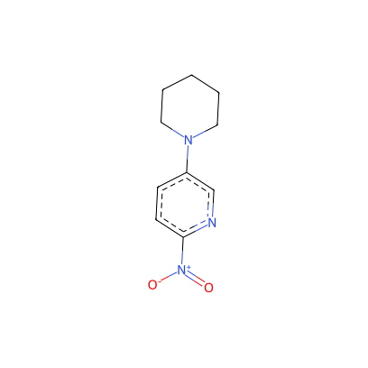 O=[N+]([O-])c1ccc(N2CCCCC2)cn1